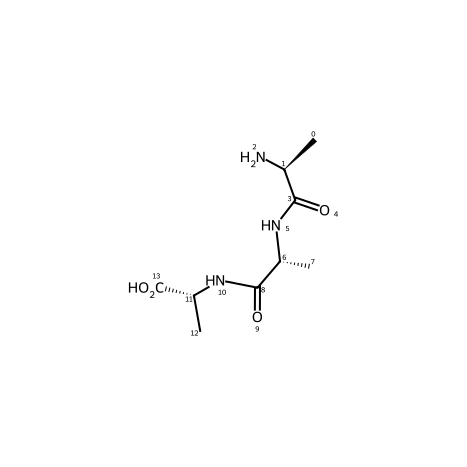 C[C@H](N)C(=O)N[C@H](C)C(=O)N[C@H](C)C(=O)O